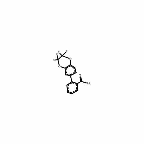 NC(=O)c1ccccc1-c1ccc2c(c1)OC(F)(F)C(F)(F)O2